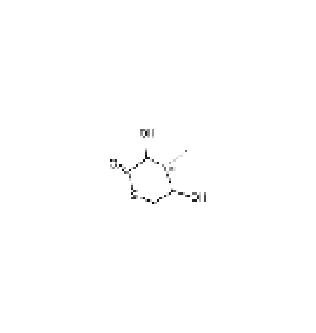 C[C@@H]1C(O)CSC(=O)C1O